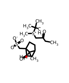 CC1(C)C2CCC1(CS(=O)(=O)[O-])C(=O)C2.CCC(=O)C[S+](C)C(C)(C)C